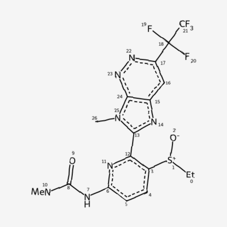 CC[S+]([O-])c1ccc(NC(=O)NC)nc1-c1nc2cc(C(F)(F)C(F)(F)F)nnc2n1C